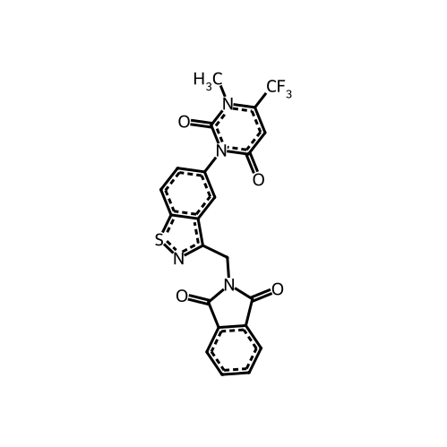 Cn1c(C(F)(F)F)cc(=O)n(-c2ccc3snc(CN4C(=O)c5ccccc5C4=O)c3c2)c1=O